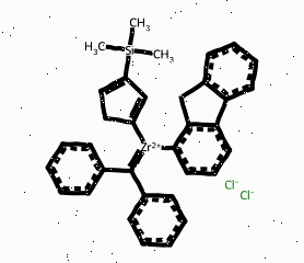 C[Si](C)(C)C1=CC[C]([Zr+2](=[C](c2ccccc2)c2ccccc2)[c]2cccc3c2Cc2ccccc2-3)=C1.[Cl-].[Cl-]